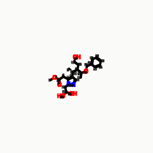 COC(=O)Cc1c([C@H](C)C(CCO)C(C)OCc2ccccc2)cnn1CC(O)O